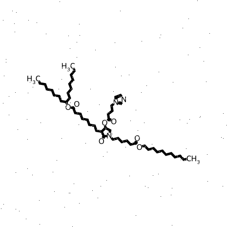 CCCCCCCCCCCOC(=O)CCCCCN1CC(OC(=O)CCCn2ccnc2)C(CCCCCCCC(=O)OC(CCCCCCCC)CCCCCCCC)C1=O